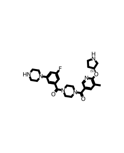 Cc1cc(C(=O)N2CCN(C(=O)c3cc(F)cc(N4CCNCC4)c3)CC2)cnc1O[C@H]1CCNC1